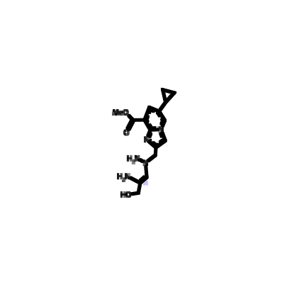 COC(=O)c1cc(C2CC2)cn2cc(CN(N)/C=C(\N)CO)nc12